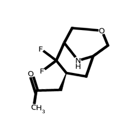 CC(=O)C[C@@H]1CC2COCC(N2)C1(F)F